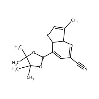 CC1=CSC2C(B3OC(C)(C)C(C)(C)O3)=CC(C#N)=NC12